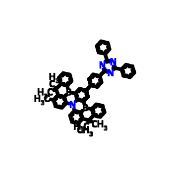 Cc1ccc2c3c1C(C)(C)c1ccccc1B3c1cc(-c3ccc(-c4nc(-c5ccccc5)nc(-c5ccccc5)n4)cc3)cc3c1N2c1ccc(C)c2c1B3c1ccccc1C2(C)C